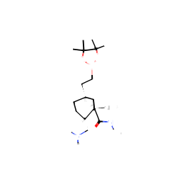 CCN(CC)C[C@@H]1CC[C@@H](CCB2OC(C)(C)C(C)(C)O2)C[C@]1(NC(C)=O)C(=O)NC(C)(C)C